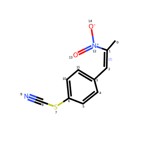 C/C(=C/c1ccc(SC#N)cc1)[N+](=O)[O-]